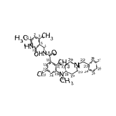 Cc1cc(C)c(CNC(=O)c2cc(Cl)cc(N(C)C3CCN(Cc4ccccc4)CC3)c2C)c(=O)[nH]1